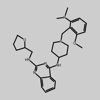 COc1cccc(N(C)C)c1CN1CCC(Nc2nc(NCC3CCCO3)nc3ccccc23)CC1